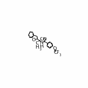 CC(C#N)(NC(=O)c1ccc(OC(F)(F)F)cc1)C1Cc2ccccc2O1